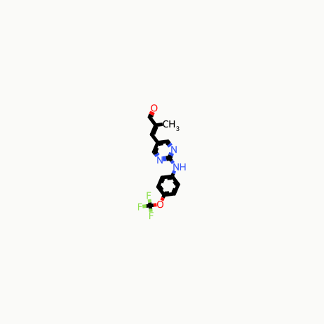 C/C(C=O)=C\c1cnc(Nc2ccc(OC(F)(F)F)cc2)nc1